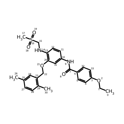 CCOc1ccc(C(=O)Nc2ccc(NCS(C)(=O)=O)c(OCc3cc(C)ccc3C)c2)cc1